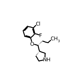 CCC[C@@H](Oc1cccc(Cl)c1F)[C@H]1CCNC1